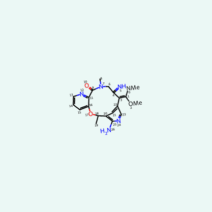 CN/C(OC)=C1\C(=N)CN(C)C(=O)c2ncccc2OC(C)c2cc1cnc2N